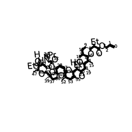 C=CCOC(=O)[C@H](CC)[C@H]1CCC(C)[C@H]([C@@H](C)[C@H](O)[C@H](C)C(=O)[C@H](CC)[C@H]2O[C@]3(C=C[C@@H](OC(=O)NCCC)[C@]4(CC[C@@](C)([C@H]5CC[C@](O)(CC)[C@H](C)O5)O4)O3)[C@H](C)C[C@@H]2C)O1